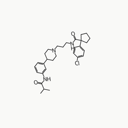 CC(C)C(=O)Nc1cccc(C2CCN(CCCNC(=O)C3(c4ccc(Cl)cc4)CCCC3)CC2)c1